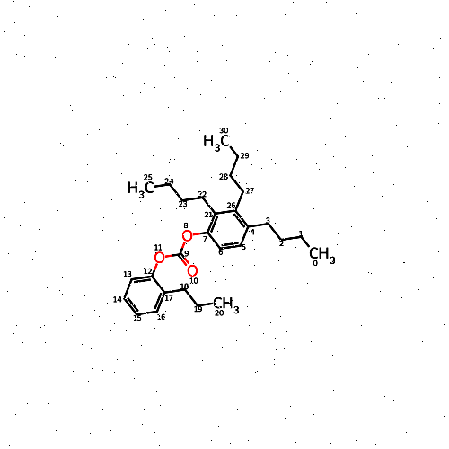 CCCCc1ccc(OC(=O)Oc2ccccc2CCC)c(CCCC)c1CCCC